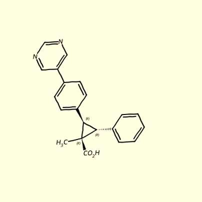 C[C@@]1(C(=O)O)[C@@H](c2ccccc2)[C@@H]1c1ccc(-c2cncnc2)cc1